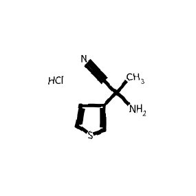 CC(N)(C#N)c1ccsc1.Cl